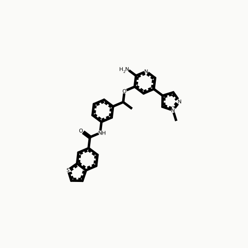 CC(Oc1cc(-c2cnn(C)c2)cnc1N)c1cccc(NC(=O)c2ccc3ccsc3c2)c1